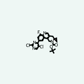 CC(C)(C)OC(=O)N1Cc2c(cnc3c(F)cc(-c4nc(Cl)ncc4Cl)cc23)CC12CC2